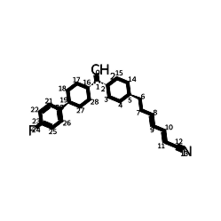 C=C([C@H]1CC[C@H](CC/C=C/C=C/C#N)CC1)[C@H]1CC[C@H](c2ccc(F)cc2)CC1